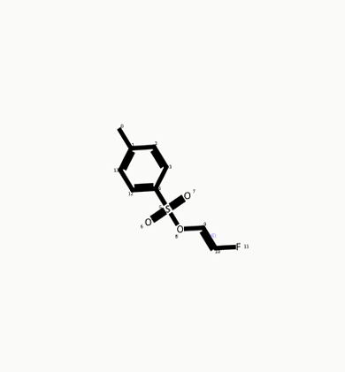 Cc1ccc(S(=O)(=O)O/C=C/F)cc1